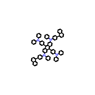 c1ccc(N(c2ccccc2)c2ccc(-c3c4ccc(N(c5ccccc5)c5ccc(-c6cccc7ccccc67)cc5)cc4c(-c4ccc(N(c5ccccc5)c5ccccc5)cc4)c4ccc(N(c5ccccc5)c5ccc(-c6cccc7ccccc67)cc5)cc34)cc2)cc1